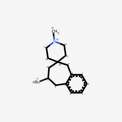 CCCCC1Cc2ccccc2CC2(CCN(C)CC2)C1